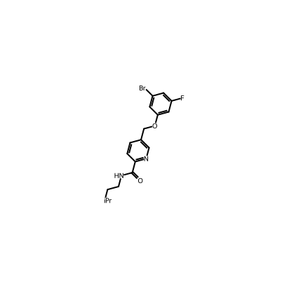 CC(C)CCNC(=O)c1ccc(COc2cc(F)cc(Br)c2)cn1